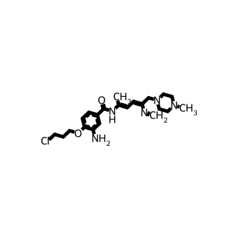 C=N/C(=C\C=C(/C)NC(=O)c1ccc(OCCCCl)c(N)c1)CN1CCN(C)CC1